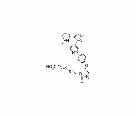 Cc1cccc(-c2c[nH]nc2-c2ccnc(-c3ccc(OCCN(C)C(=O)OCCSSCCC(=O)O)cc3)c2)n1